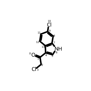 O=C(CCl)c1c[nH]c2cc(Cl)ccc12